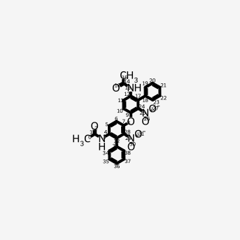 CC(=O)Nc1ccc(Oc2ccc(NC(C)=O)c(-c3ccccc3)c2[N+](=O)[O-])c([N+](=O)[O-])c1-c1ccccc1